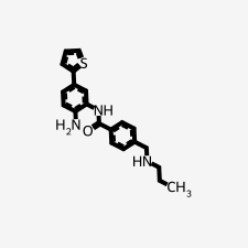 CCCNCc1ccc(C(=O)Nc2cc(-c3cccs3)ccc2N)cc1